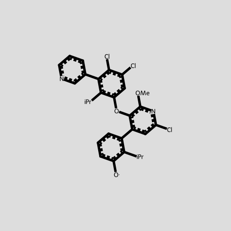 COc1nc(Cl)cc(-c2cccc([O])c2C(C)C)c1Oc1cc(Cl)c(Cl)c(-c2cccnc2)c1C(C)C